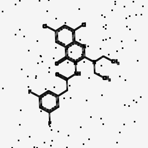 CCN(CC)c1nc2c(Cl)cc(Cl)cc2c(=O)n1NC(=O)Cc1cc(F)cc(F)c1